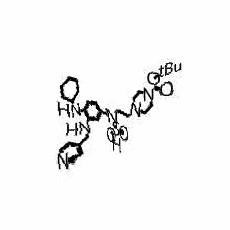 CC(C)(C)OC(=O)N1CCN(CCN(c2ccc(NC3CCCCC3)c(NCc3ccncc3)c2)[SH](=O)=O)CC1